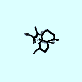 CC1=C[C@H]2[C@@H](CC1)[C@H](C)CC[C@H]2C(C)C(=O)O